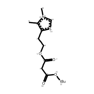 Cc1c(CCOC(=O)CC(=O)OC(C)(C)C)sc[n+]1C